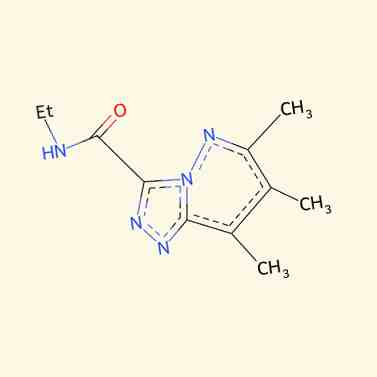 CCNC(=O)c1nnc2c(C)c(C)c(C)nn12